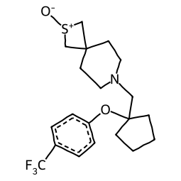 [O-][S+]1CC2(CCN(CC3(Oc4ccc(C(F)(F)F)cc4)CCCC3)CC2)C1